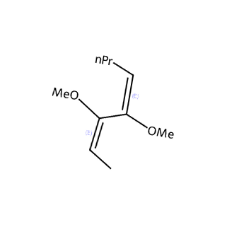 C/C=C(OC)\C(=C/CCC)OC